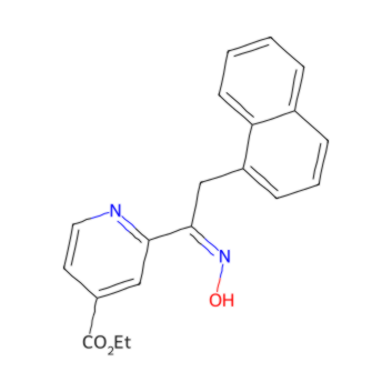 CCOC(=O)c1ccnc(C(Cc2cccc3ccccc23)=NO)c1